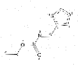 CCOC(=O)N=Cc1cccs1